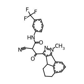 Cn1nc(C(=O)C(C#N)C(=O)Nc2cccc(C(F)(F)F)c2)c2c1-c1cccc3c1C2CCC3